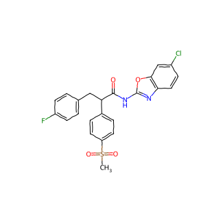 CS(=O)(=O)c1ccc(C(Cc2ccc(F)cc2)C(=O)Nc2nc3ccc(Cl)cc3o2)cc1